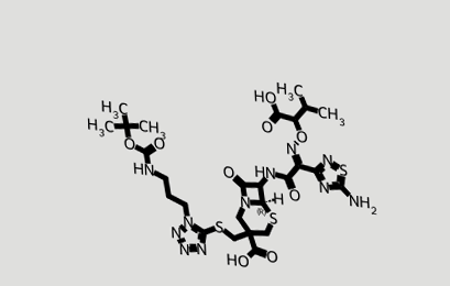 CC(C)C(ON=C(C(=O)NC1C(=O)N2CC(CSc3nnnn3CCCNC(=O)OC(C)(C)C)(C(=O)O)CS[C@H]12)c1nsc(N)n1)C(=O)O